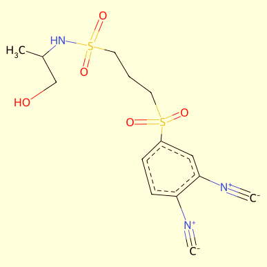 [C-]#[N+]c1ccc(S(=O)(=O)CCCS(=O)(=O)NC(C)CO)cc1[N+]#[C-]